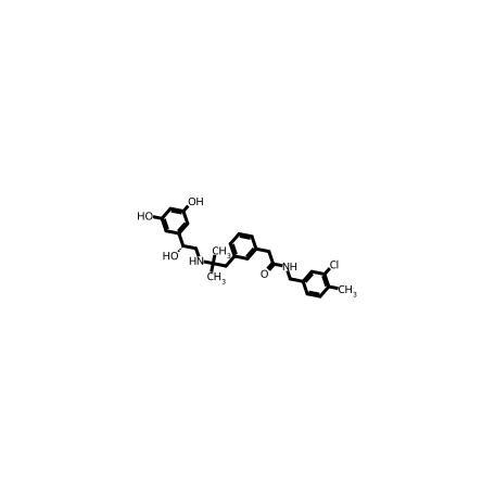 Cc1ccc(CNC(=O)Cc2cccc(CC(C)(C)NC[C@H](O)c3cc(O)cc(O)c3)c2)cc1Cl